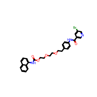 O=C(Nc1cccc2ccccc12)OCCOCCOCCc1ccc(NC(=O)c2cncc(Br)c2)cc1